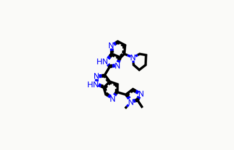 Cc1ncc(-c2cc3c(-c4nc5c(N6CCCCC6)ccnc5[nH]4)n[nH]c3cn2)n1C